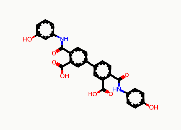 O=C(O)c1cc(-c2ccc(C(=O)Nc3cccc(O)c3)c(C(=O)O)c2)ccc1C(=O)Nc1ccc(O)cc1